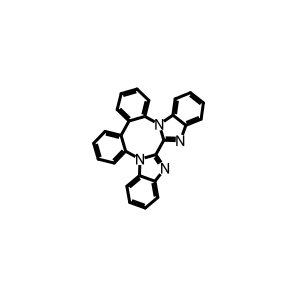 c1ccc2c(c1)nc1c3nc4ccccc4n3c3ccccc3c3ccccc3n21